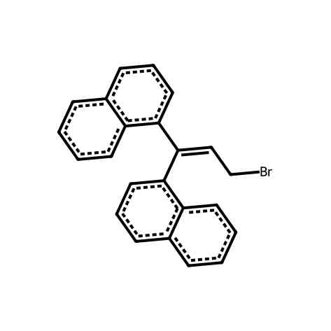 BrCC=C(c1cccc2ccccc12)c1cccc2ccccc12